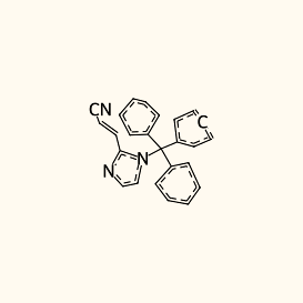 N#CC=Cc1nccn1C(c1ccccc1)(c1ccccc1)c1ccccc1